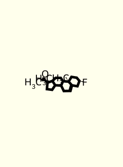 CC(=O)C1CCC2C3CC=C4C[C@@H](F)CC[C@]4(C)C3CC[C@]12C